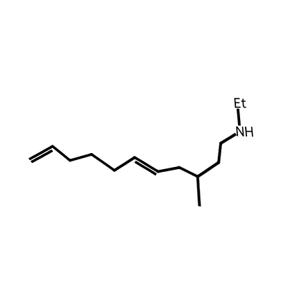 C=CCCCC=CCC(C)CCNCC